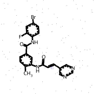 Cc1ccc(C(=O)Nc2ccc(Br)cc2F)cc1NC(=O)/C=C/c1cncnc1